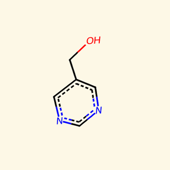 OCc1cncnc1